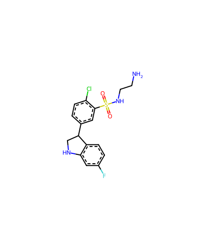 NCCNS(=O)(=O)c1cc(C2CNc3cc(F)ccc32)ccc1Cl